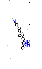 CC1CC(C2C=CCCC2)NC(C2CCCC2)NC1C1CCC(C2CCCC(C3C=CC4CC(C5CCC(C#N)CC5)CCC4C3)C3CCC=CC23)CC1